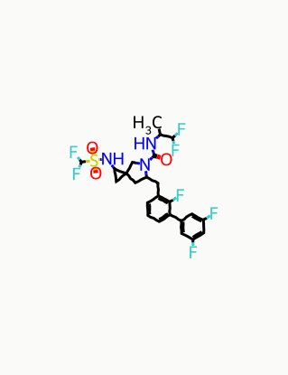 CC(NC(=O)N1CC2(CC1Cc1cccc(-c3cc(F)cc(F)c3)c1F)CC2NS(=O)(=O)C(F)F)C(F)F